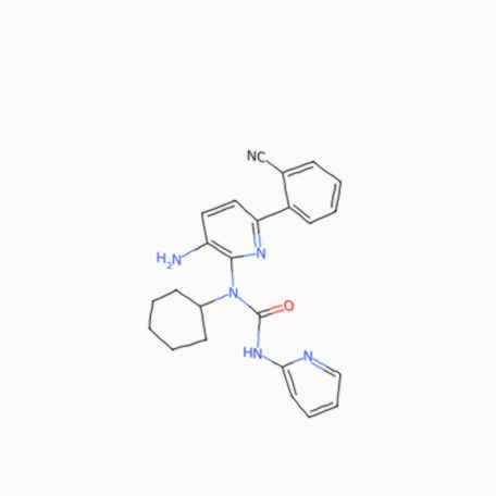 N#Cc1ccccc1-c1ccc(N)c(N(C(=O)Nc2ccccn2)C2CCCCC2)n1